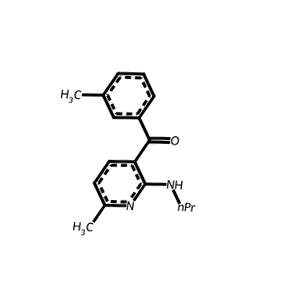 CCCNc1nc(C)ccc1C(=O)c1cccc(C)c1